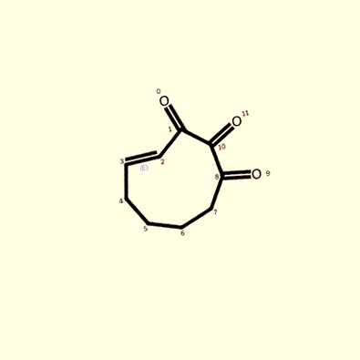 O=C1/C=C/CCCCC(=O)C1=O